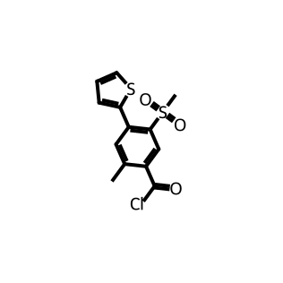 Cc1cc(-c2cccs2)c(S(C)(=O)=O)cc1C(=O)Cl